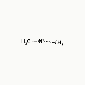 CCCCCCCCCCCCCCC[n+]1ccc(CCCCCCCCC)cc1